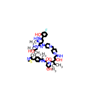 CNc1c(NCC(C)(C)O)nn(C2CCN(CC3CCN(C(=N)/C=C(\O)C(C(=O)N4C[C@H](O)C[C@H]4C(=O)N[C@@H](C)c4ccc(-c5scnc5C)cc4)C(C)C)CC3)CC2)c1/C=C(\N)c1ccc(F)cc1O